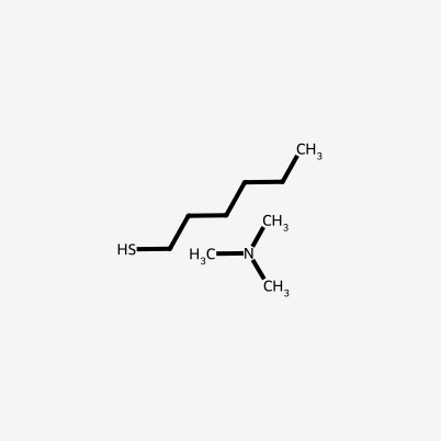 CCCCCCS.CN(C)C